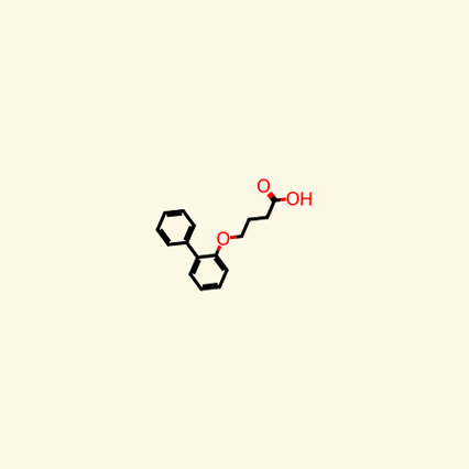 O=C(O)CCCOc1ccccc1-c1ccccc1